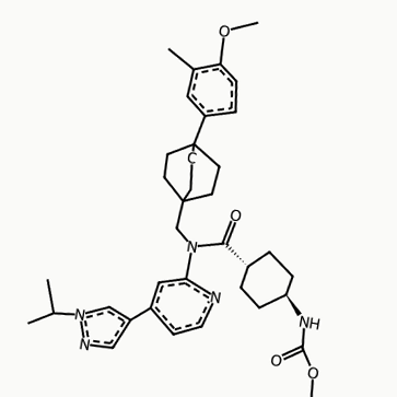 COC(=O)N[C@H]1CC[C@H](C(=O)N(CC23CCC(c4ccc(OC)c(C)c4)(CC2)CC3)c2cc(-c3cnn(C(C)C)c3)ccn2)CC1